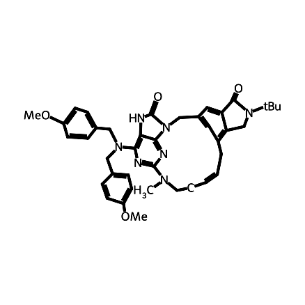 COc1ccc(CN(Cc2ccc(OC)cc2)c2nc3nc4c2[nH]c(=O)n4Cc2cc(c4c(c2)C(=O)N(C(C)(C)C)C4)CC=CCCN3C)cc1